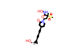 CC(CCn1ccc(C#CC#CC2C[C@@H]2CO)cc1=O)(C(=O)NO)S(C)(=O)=O